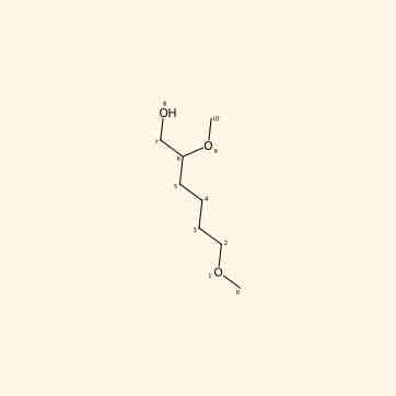 COCCCCC(CO)OC